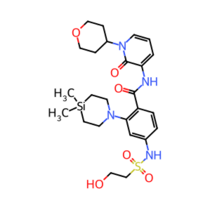 C[Si]1(C)CCN(c2cc(NS(=O)(=O)CCO)ccc2C(=O)Nc2cccn(C3CCOCC3)c2=O)CC1